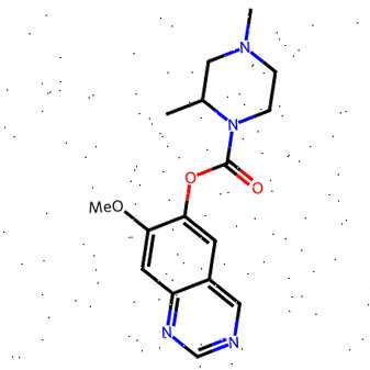 COc1cc2ncncc2cc1OC(=O)N1CCN(C)CC1C